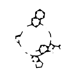 Cn1c(C(=O)O)c2c3ccc(Cl)c(c31)-c1c(nn3c1CCC3)CSCC1NC=C(CSc3cc(c4ccccc4c3)OCCC2)S1